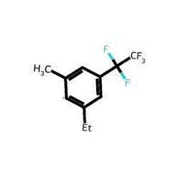 CCc1[c]c(C)cc(C(F)(F)C(F)(F)F)c1